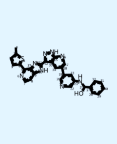 Cc1ccc(-c2nccc3[nH]c(-c4n[nH]c5ncc(-c6cncc(NC(O)c7ccccc7)c6)cc45)nc23)s1